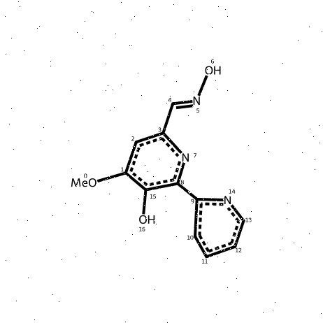 COc1cc(/C=N/O)nc(-c2ccccn2)c1O